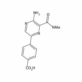 CNC(=O)c1nc(-c2ccc(C(=O)O)cc2)cnc1N